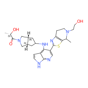 CC1c2sc(-c3cnc4[nH]ccc4c3NC3C[C@@H]4CN(C(=O)[C@H](C)O)C[C@@H]4C3)nc2CCN1CCO